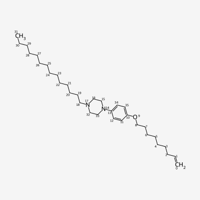 C=CCCCCCCCOc1ccc(N2CCN(CCCCCCCCCCCCCC)CC2)cc1